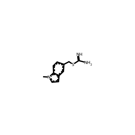 Cn1ccc2cc(CSC(=N)N)ccc21